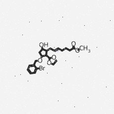 COC(=O)CCC/C=C/CC1C(O)CC(OCc2ccccc2Br)C1C1OCCO1